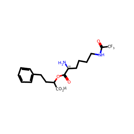 N[C@@H](CCCCNC(=O)C(F)(F)F)C(=O)OC(CCc1ccccc1)C(=O)O